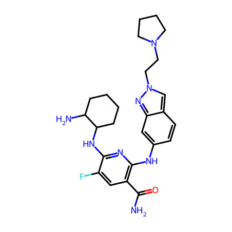 NC(=O)c1cc(F)c(NC2CCCCC2N)nc1Nc1ccc2cn(CCN3CCCC3)nc2c1